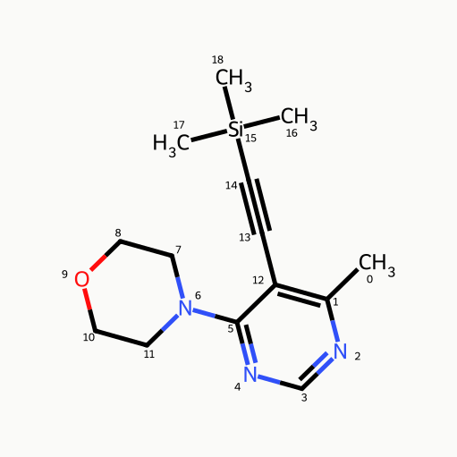 Cc1ncnc(N2CCOCC2)c1C#C[Si](C)(C)C